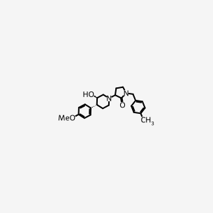 COc1ccc([C@H]2CCN(C3CCN(Cc4ccc(C)cc4)C3=O)C[C@@H]2O)cc1